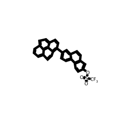 O=S(=O)(Oc1ccc2c(ccc3cc(-c4ccc5ccc6cccc7ccc4c5c67)ccc32)c1)C(F)(F)F